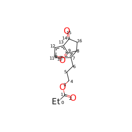 CCC(=O)OCCCc1c2c3oc1cc3C(=O)C2